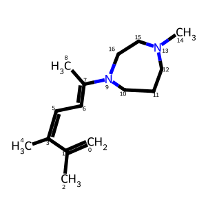 C=C(C)/C(C)=C\C=C(/C)N1CCCN(C)CC1